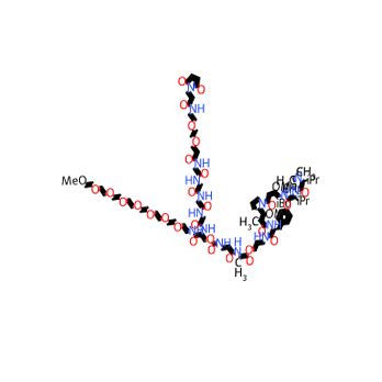 CC[C@H](C)[C@@H]([C@@H](CC(=O)N1CCC[C@H]1[C@H](OC)[C@@H](C)C(=O)N[C@@H](Cc1ccccc1)C(=O)NCCCOC(=O)C(C)NC(=O)CCNC(=O)OCC(NC(=O)CNC(=O)CNC(=O)CNC(=O)CNC(=O)CCOCCOCCNC(=O)CCN1C(=O)C=CC1=O)C(=O)NCCOCCOCCOCCOCCOCCOCCOCCOC)OC)N(C)C(=O)[C@@H](NC(=O)[C@H](C(C)C)N(C)C)C(C)C